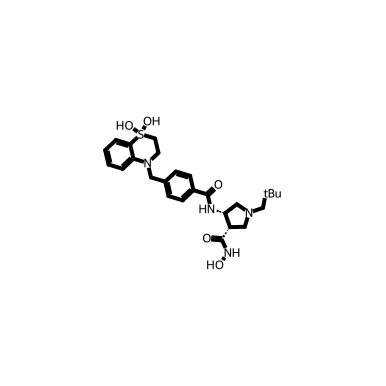 CC(C)(C)CN1C[C@H](C(=O)NO)[C@H](NC(=O)c2ccc(CN3CCS(O)(O)c4ccccc43)cc2)C1